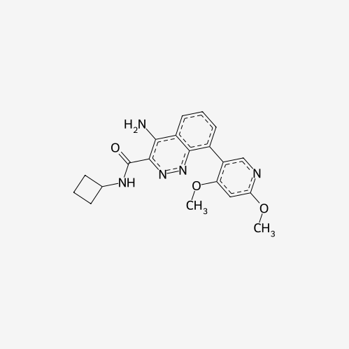 COc1cc(OC)c(-c2cccc3c(N)c(C(=O)NC4CCC4)nnc23)cn1